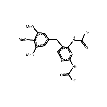 COc1cc(Cc2cnc(NC(=O)C(C)C)nc2NC(=O)C(C)C)cc(OC)c1OC